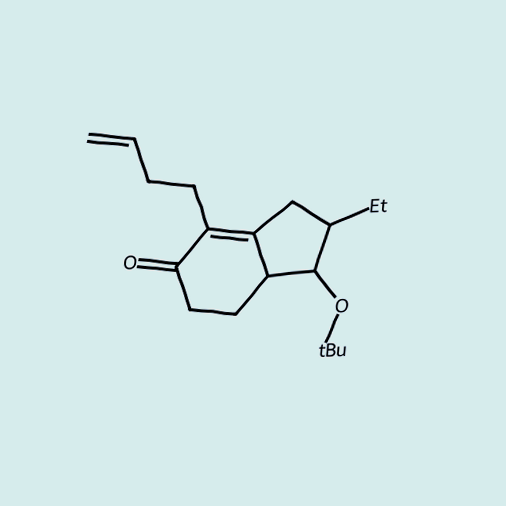 C=CCCC1=C2CC(CC)C(OC(C)(C)C)C2CCC1=O